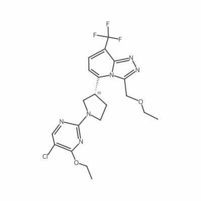 CCOCc1nnc2c(C(F)(F)F)ccc([C@@H]3CCN(c4ncc(Cl)c(OCC)n4)C3)n12